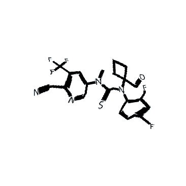 CN(C(=S)N(c1ccc(F)cc1F)C1(C=O)CCC1)c1cnc(C#N)c(C(F)(F)F)c1